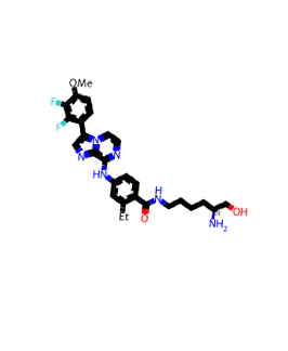 CCc1cc(Nc2nccn3c(-c4ccc(OC)c(F)c4F)cnc23)ccc1C(=O)NCCCC[C@H](N)CO